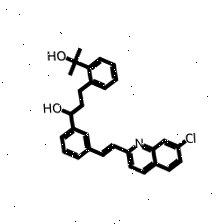 CC(C)(O)c1ccccc1CCC(O)c1cccc(/C=C/c2ccc3ccc(Cl)cc3n2)c1